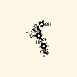 CC(C)N1c2c(Br)cc(C(=O)Nc3ccc(OC(F)(F)Cl)cc3)cc2CC1C(=O)N1CC[C@@H](O)C1